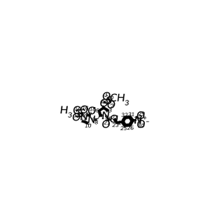 CS(=O)(=O)O[C@@H]1C[C@@H](CN2CCN(S(C)(=O)=O)C2=O)N(C(=O)OCc2ccc([N+](=O)[O-])cc2)C1